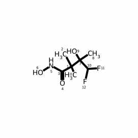 CC(C)(C(=O)NO)C(C)(O)C(F)F